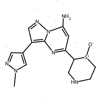 Cn1cc(-c2cnn3c(N)cc(C4CNCC[S+]4[O-])nc23)cn1